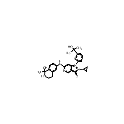 CC(C)(O)c1cccc(-n2c3cc(Nc4ccc5c(c4)CCNC5(C)C)ncc3c(=O)n2C2CC2)n1